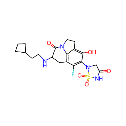 O=C1CN(c2c(O)c3c4c(c2F)CC(NCCC2CCC2)C(=O)N4CC3)S(=O)(=O)N1